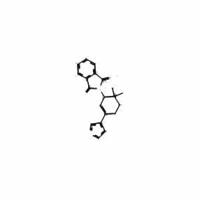 CC1(C)CCC(c2ccoc2)=CC1N1C(=O)c2ccccc2C1=O